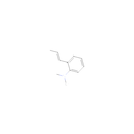 [CH2]/C=C/c1ccccc1N(C)CC